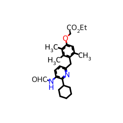 CCOC(=O)COc1cc(C)c(Cc2ccc(NC=O)c(C3CCCCC3)n2)c(C)c1C